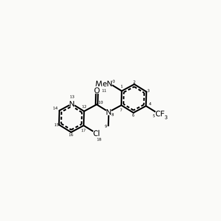 CNc1ccc(C(F)(F)F)cc1N(C)C(=O)c1ncccc1Cl